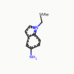 CSCn1ccc2cc(N)ccc21